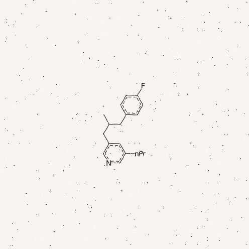 CCCc1cncc(CC(C)Cc2ccc(F)cc2)c1